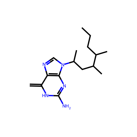 C=C1NC(N)=Nc2c1ncn2C(C)CC(C)C(C)CCC